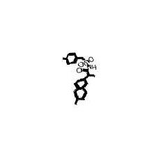 Cc1ccc(CS(=O)(=O)NC(=O)C(C)c2ccc3cc(C)ccc3c2)cc1